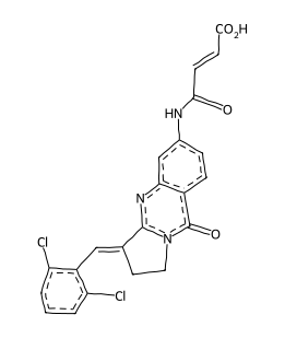 O=C(O)C=CC(=O)Nc1ccc2c(=O)n3c(nc2c1)C(=Cc1c(Cl)cccc1Cl)CC3